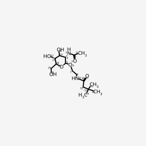 CC(=O)N[C@@H]1C(OCCNC(=O)CC(C)(C)C)OC(CO)[C@@H](O)C1O